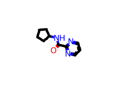 O=C(NC1CCCC1)c1ncccn1